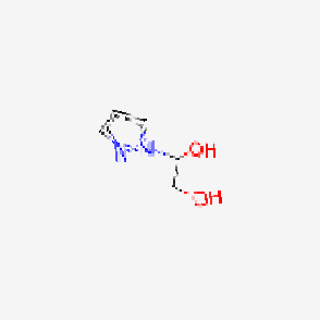 OCC(O)n1cccn1